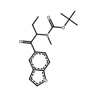 CCC(C(=O)c1ccc2occc2c1)N(C)C(=O)OC(C)(C)C